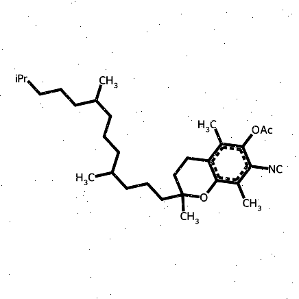 [C-]#[N+]c1c(C)c2c(c(C)c1OC(C)=O)CCC(C)(CCCC(C)CCCC(C)CCCC(C)C)O2